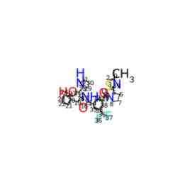 Cc1csc([C@H]2CCCN2C(=O)c2cc(C(=O)N[C@@H](Cc3ccccc3)[C@H](O)[C@H]3CCCN3)cc(C(F)F)c2)n1